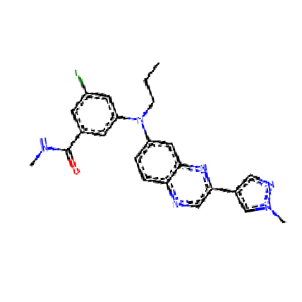 CCCN(c1cc(F)cc(C(=O)NC)c1)c1ccc2ncc(-c3cnn(C)c3)nc2c1